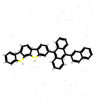 c1ccc2cc(-c3c4ccccc4c(-c4ccc5c(c4)sc4c5ccc5c6ccccc6sc54)c4ccccc34)ccc2c1